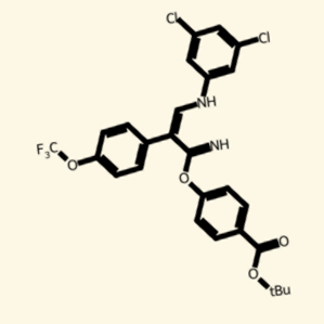 CC(C)(C)OC(=O)c1ccc(OC(=N)/C(=C\Nc2cc(Cl)cc(Cl)c2)c2ccc(OC(F)(F)F)cc2)cc1